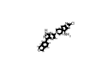 N[C@@H]1c2sc(Cl)nc2CC12CCN(c1cnc3c(-c4ccc5c(c4)COC5)n[nH]c3n1)CC2